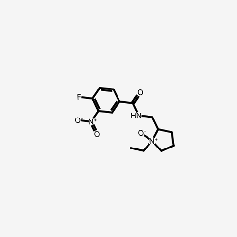 CC[N+]1([O-])CCCC1CNC(=O)c1ccc(F)c([N+](=O)[O-])c1